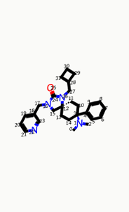 CN(C)[C@]1(c2ccccc2)CC[C@]2(CC1)CN(Cc1cccnc1)C(=O)N2CC1CCC1